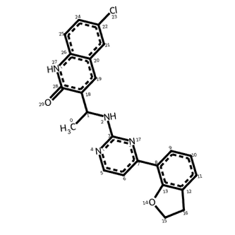 CC(Nc1nccc(-c2cccc3c2OCC3)n1)c1cc2cc(Cl)ccc2[nH]c1=O